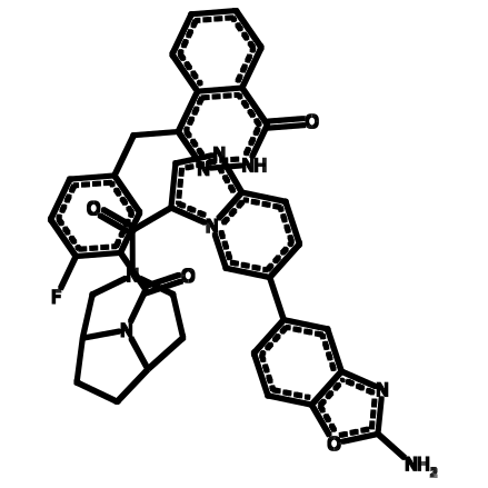 Nc1nc2cc(-c3ccc4ncc(C(=O)N5CCC6CCC(C5)N6C(=O)c5cc(Cc6n[nH]c(=O)c7ccccc67)ccc5F)n4c3)ccc2o1